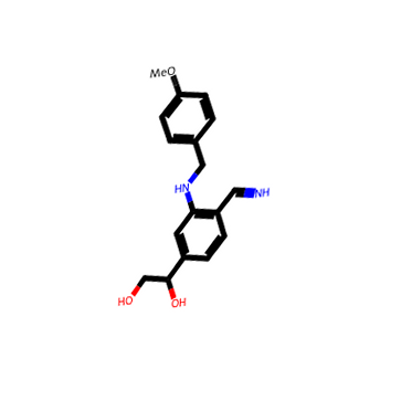 COc1ccc(CNc2cc(C(O)CO)ccc2C=N)cc1